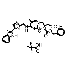 Cc1cn(CC(CC(=O)O)NC(=O)OCc2ccccc2)c(=O)nc1NCc1nc(-c2nc3ccccc3[nH]2)cs1.O=C(O)C(F)(F)F